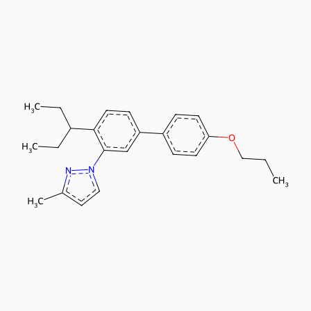 CCCOc1ccc(-c2ccc(C(CC)CC)c(-n3ccc(C)n3)c2)cc1